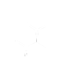 CC([SH](=O)=O)[SH](=O)=O